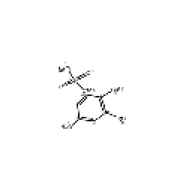 COS(=O)(=O)OC.COc1ccc(OC)c(O)c1